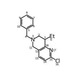 CCC1CN(Cc2ccccc2)Cc2ccc(Cl)nc21